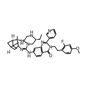 CC[C@H]1CN(/C(=N\[C@H]2C[C@H]3C[C@@H]([C@@H]2C)C3(C)C)Nc2ccc3c(=O)n(CCc4ccc(OC)cc4F)c(-c4cccnc4)nc3c2)CCN1